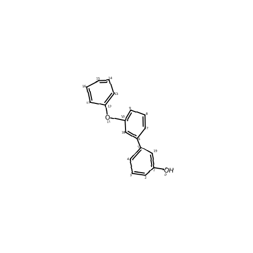 Oc1cccc(-c2[c]ccc(Oc3ccccc3)c2)c1